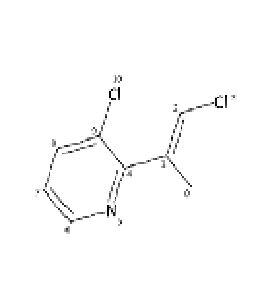 CC(=CCl)c1ncccc1Cl